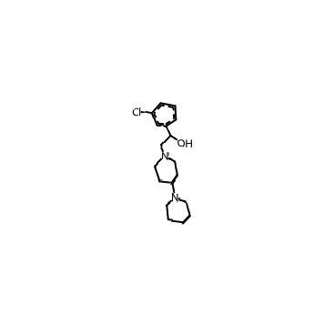 OC(CN1CCC(N2CCCCC2)CC1)c1cccc(Cl)c1